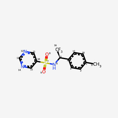 Cc1ccc([C@@H](NS(=O)(=O)c2cncnc2)C(F)(F)F)cc1